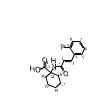 O=C(/C=C/c1ccccc1F)NC1(C(=O)O)CCCCC1